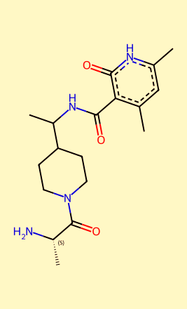 Cc1cc(C)c(C(=O)NC(C)C2CCN(C(=O)[C@H](C)N)CC2)c(=O)[nH]1